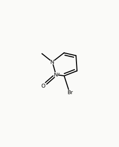 Cn1cccc(Br)[n+]1=O